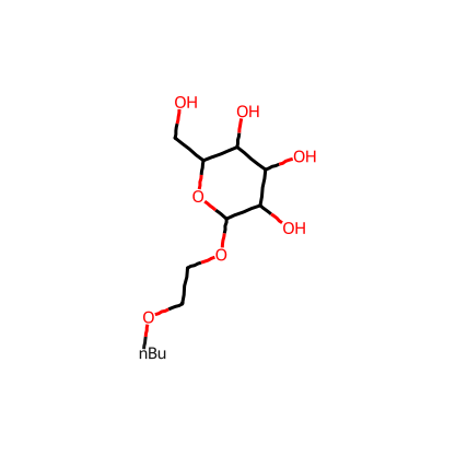 CCCCOCCOC1OC(CO)C(O)C(O)C1O